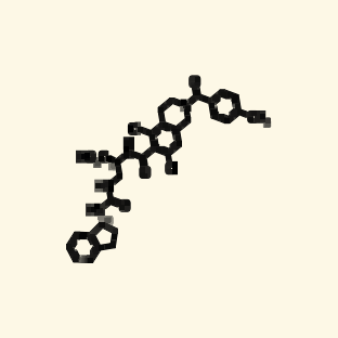 Cc1ccc(C(=O)N2CCc3c(cc(Cl)c(C(=O)N[C@@H](CNC(=O)N[C@@H]4CCc5ccccc54)C(=O)O)c3Cl)C2)cc1